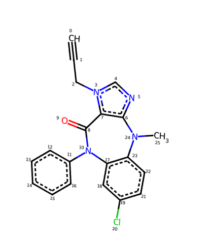 C#CCn1cnc2c1C(=O)N(c1ccccc1)c1cc(Cl)ccc1N2C